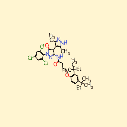 CCC(C)(C)c1ccc(OCCCC(=O)NC2=NN(c3c(Cl)cc(Cl)cc3Cl)C(=O)C2c2c(C)n[nH]c2C)c(C(C)(C)CC)c1